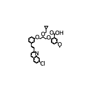 COc1ccc(OCC(COc2cccc(/C=C/c3ccc4ccc(Cl)cc4n3)c2)OCC2CC2)c(C(=O)O)c1